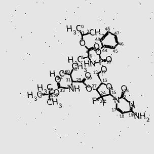 CC(C)OC(=O)[C@H](C)N[P@@](=O)(OC[C@H]1OC(n2ccc(N)nc2=O)C(F)(F)[C@@H]1OC(=O)[C@@H](NC(=O)OC(C)(C)C)C(C)C)Oc1ccccc1